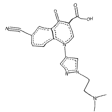 CN(C)CCn1cc(-n2cc(C(=O)O)c(=O)c3cc(C#N)ccc32)cn1